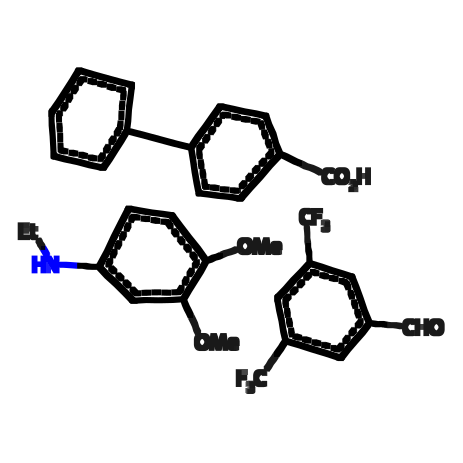 CCNc1ccc(OC)c(OC)c1.O=C(O)c1ccc(-c2ccccc2)cc1.O=Cc1cc(C(F)(F)F)cc(C(F)(F)F)c1